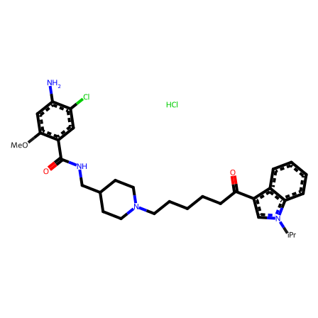 COc1cc(N)c(Cl)cc1C(=O)NCC1CCN(CCCCCC(=O)c2cn(C(C)C)c3ccccc23)CC1.Cl